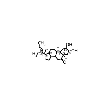 CCC[C@@H](C)[C@H]1CCC2C3CC(=O)[C@H]4C[C@H](O)[C@H](O)C[C@]4(C)C3CC[C@@]21C